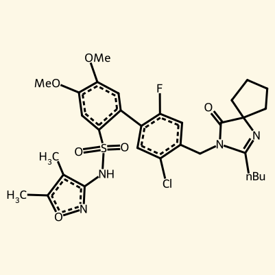 CCCCC1=NC2(CCCC2)C(=O)N1Cc1cc(F)c(-c2cc(OC)c(OC)cc2S(=O)(=O)Nc2noc(C)c2C)cc1Cl